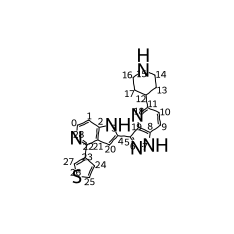 c1cc2[nH]c(-c3n[nH]c4ccc(C5CCNCC5)nc34)cc2c(-c2ccsc2)n1